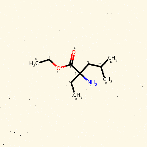 CCOC(=O)C(N)(CC)CC(C)C